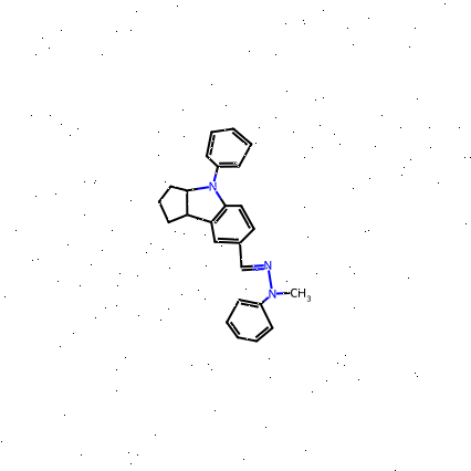 CN(/N=C/c1ccc2c(c1)C1CCCC1N2c1ccccc1)c1ccccc1